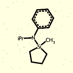 CC(C)N(c1ccccc1)[Si]1(C)CCCC1